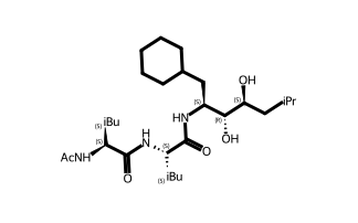 CC[C@H](C)[C@H](NC(C)=O)C(=O)N[C@H](C(=O)N[C@@H](CC1CCCCC1)[C@@H](O)[C@@H](O)CC(C)C)[C@@H](C)CC